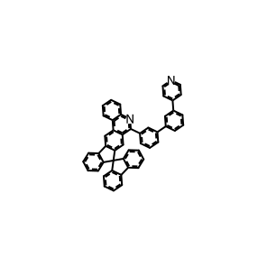 c1cc(-c2ccncc2)cc(-c2cccc(-c3nc4ccccc4c4cc5c(cc34)C3(c4ccccc4-c4ccccc43)c3ccccc3-5)c2)c1